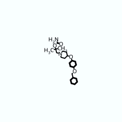 CC(C)(CN1CCC(Oc2ccc(OCc3ccccc3)cc2)CC1)OC(N)=O